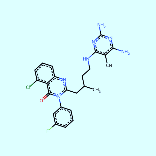 CC(CCNc1nc(N)nc(N)c1C#N)Cc1nc2cccc(Cl)c2c(=O)n1-c1cccc(F)c1